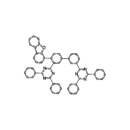 c1ccc(-c2nc(-c3ccccc3)nc(-c3cccc(-c4ccc(-c5cccc6c5oc5ccccc56)c(-c5nc(-c6ccccc6)nc(-c6ccccc6)n5)c4)c3)n2)cc1